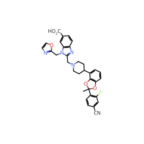 CC1(c2ccc(C#N)cc2F)Oc2cccc(C3CCN(Cc4nc5ccc(C(=O)O)cc5n4Cc4ncco4)CC3)c2O1